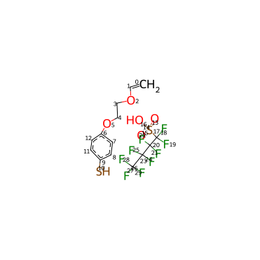 C=COCCOc1ccc(S)cc1.O=S(=O)(O)C(F)(F)C(F)(F)C(F)(F)C(F)(F)F